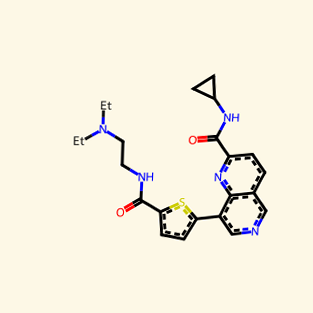 CCN(CC)CCNC(=O)c1ccc(-c2cncc3ccc(C(=O)NC4CC4)nc23)s1